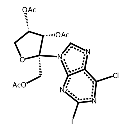 CC(=O)OC[C@]1(n2cnc3c(Cl)nc(I)nc32)OC[C@H](OC(C)=O)[C@@H]1OC(C)=O